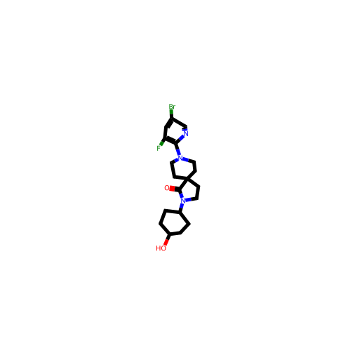 O=C1N(C2CCC(O)CC2)CCC12CCN(c1ncc(Br)cc1F)CC2